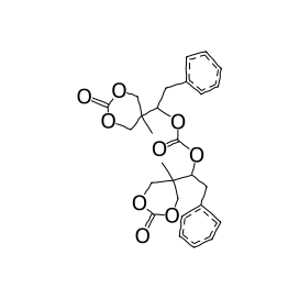 CC1(C(Cc2ccccc2)OC(=O)OC(Cc2ccccc2)C2(C)COC(=O)OC2)COC(=O)OC1